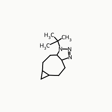 CC(C)(C)N1N=NC2CCC3CC3CCC21